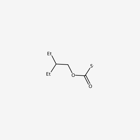 CCC(CC)COC(=O)[S]